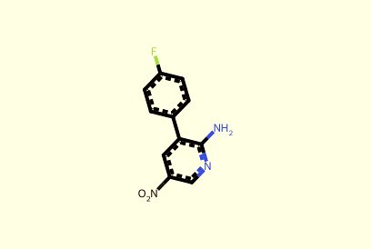 Nc1ncc([N+](=O)[O-])cc1-c1ccc(F)cc1